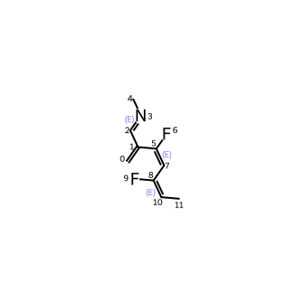 C=C(/C=N/C)/C(F)=C\C(F)=C/C